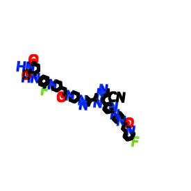 N#Cc1cnn2cc(-c3cnn(C4CCN(C(=O)CC5CCN(c6ccc(NC7CCC(=O)NC7=O)cc6F)CC5)CC4)c3)nc(-c3ccc(N4CCN(C(=O)Cc5ccc(F)cn5)CC4)nc3)c12